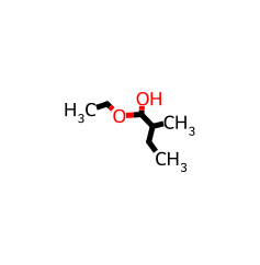 CCOC(O)C(C)CC